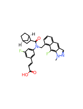 Cn1ncc2cc3cccc(CN(C(=O)C4C[C@H]5CC[C@@H]4C5)c4cc(F)cc(C=CC(=O)O)c4)c3c(F)c21